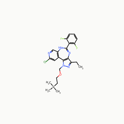 CCc1nn(COCC[Si](C)(C)C)c2c1N=C(c1c(F)cccc1F)Nc1cnc(Cl)cc1-2